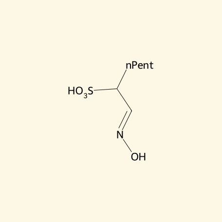 CCCCCC(C=NO)S(=O)(=O)O